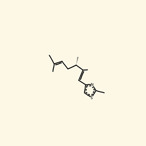 CC(C)=CC[C@H](C)/C(C)=C/c1csc(C)n1